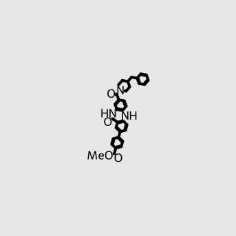 COC(=O)c1ccc(-c2ccc3c(c2)C(=O)Nc2cc(C(=O)N4CCC(Cc5ccccc5)CC4)ccc2N3)cc1